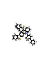 c1ccc(-c2ccc(N(c3ccc4c(c3)sc3ccccc34)c3cccc4sc5c6ccccc6ccc5c34)cc2)cc1